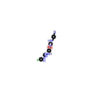 N#Cc1ccc(CNC2CCN(S(=O)(=O)c3ccc(Nc4nccc(Nc5ccc(F)cc5)n4)cc3)CC2)cc1